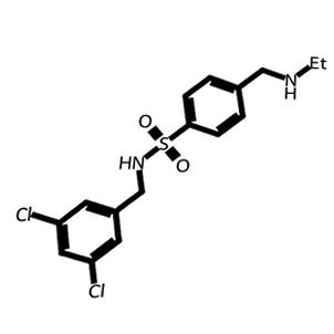 CCNCc1ccc(S(=O)(=O)NCc2cc(Cl)cc(Cl)c2)cc1